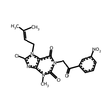 CC(C)=CCn1c(Cl)nc2c1c(=O)n(CC(=O)c1cccc([N+](=O)[O-])c1)c(=O)n2C